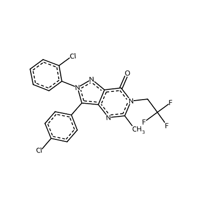 Cc1nc2c(-c3ccc(Cl)cc3)n(-c3ccccc3Cl)nc2c(=O)n1CC(F)(F)F